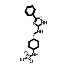 CCS(=O)(=O)N[C@H]1CC[C@H](CNC2N=C(c3ccccc3)ON2)CC1